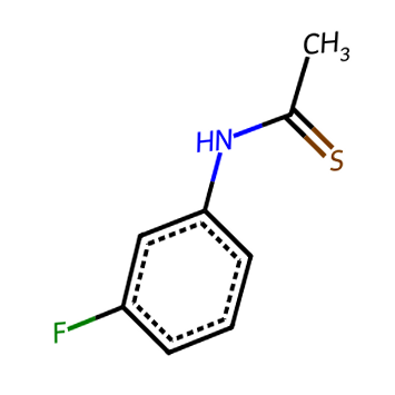 CC(=S)Nc1cccc(F)c1